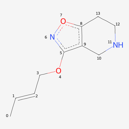 CC=CCOc1noc2c1CNCC2